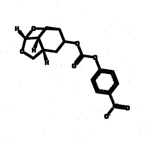 O=C(Oc1ccc([N+](=O)[O-])cc1)OC1C[C@@H]2CO[C@@H]3OC1C[C@H]23